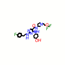 O=C(N[C@H]1CCN(CCOC(F)F)C1)c1cnc(NCCc2ccc(F)cc2)nc1N[C@H]1CC[C@H](O)CC1